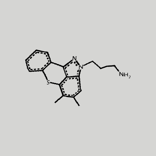 Cc1cc2c3c(nn2CCCN)-c2ccccc2Sc3c1C